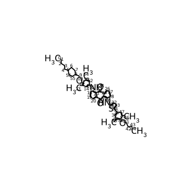 CCCCCC1CCC(COc2c(C)cc(Nc3cccc4c3C(=O)c3cccc(Nc5ccc(-c6cc(C)c(OCCCC)c(C)c6)s5)c3C4=O)cc2C)CC1